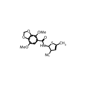 COc1cc(C(=O)NC2SC(C)=CC2C#N)c(OC)c2c1OCO2